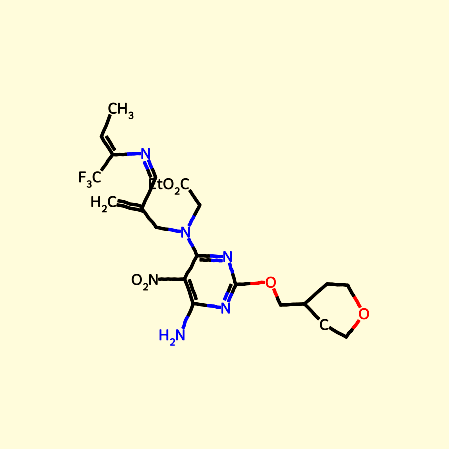 C=C(/C=N\C(=C/C)C(F)(F)F)CN(CC(=O)OCC)c1nc(OCC2CCOCC2)nc(N)c1[N+](=O)[O-]